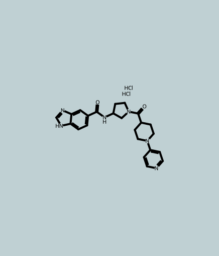 Cl.Cl.O=C(NC1CCN(C(=O)C2CCN(c3ccncc3)CC2)C1)c1ccc2[nH]cnc2c1